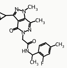 Cc1ccc(C(C)NC(=O)Cn2nc(C)c3c(c(C4CC4)nn3C)c2=O)c(F)c1